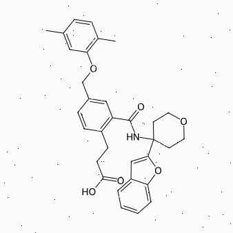 Cc1ccc(C)c(OCc2ccc(CCC(=O)O)c(C(=O)NC3(c4cc5ccccc5o4)CCOCC3)c2)c1